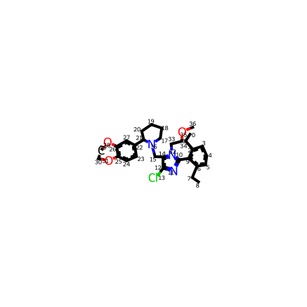 CCc1cccc(CC)c1-c1nc(Cl)c(CN2CCCCC2c2ccc3c(c2)OCCO3)n1CCOC